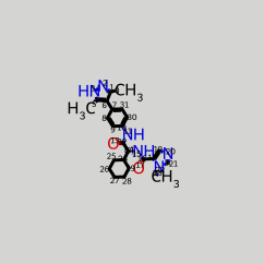 Cc1n[nH]c(C)c1-c1ccc(NC(=O)[C@@H](NC(=O)c2cncn2C)C2CCCCC2)cc1